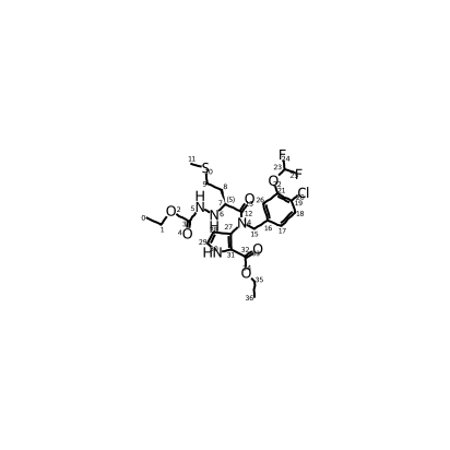 CCOC(=O)NN[C@@H](CCSC)C(=O)N(Cc1ccc(Cl)c(OC(F)F)c1)c1cc[nH]c1C(=O)OCC